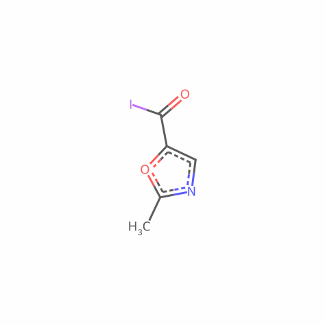 Cc1ncc(C(=O)I)o1